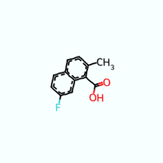 Cc1ccc2ccc(F)cc2c1C(=O)O